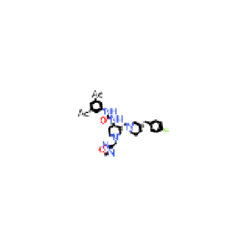 CC(=O)c1cc(NC(=O)N[C@@H]2CCN(Cc3ncon3)C[C@H]2CN2CCC[C@@H](Cc3ccc(F)cc3)C2)cc(C(C)=O)c1